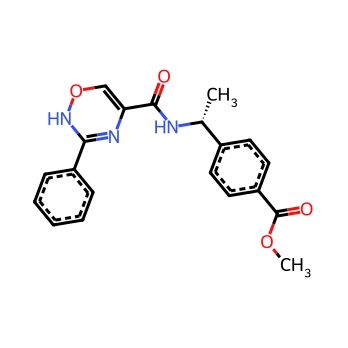 COC(=O)c1ccc([C@@H](C)NC(=O)C2=CONC(c3ccccc3)=N2)cc1